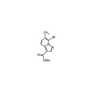 COC(=O)c1cnn2c(Br)c(C)ccc12